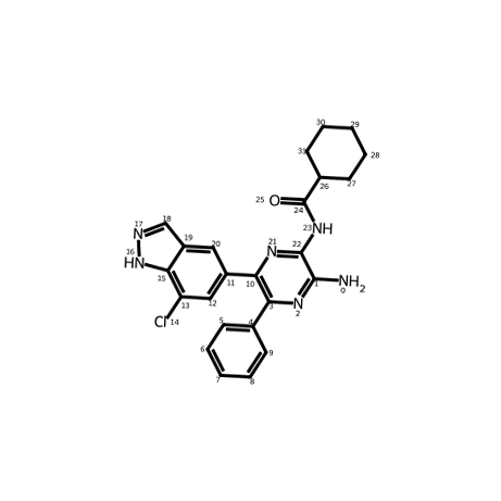 Nc1nc(-c2ccccc2)c(-c2cc(Cl)c3[nH]ncc3c2)nc1NC(=O)C1CCCCC1